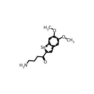 COc1cc2cc(C(=O)CCCN)[se]c2cc1OC